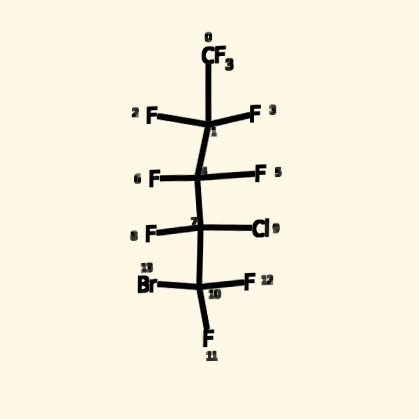 FC(F)(F)C(F)(F)C(F)(F)C(F)(Cl)C(F)(F)Br